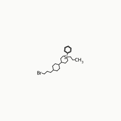 CCC[Si]1(c2ccccc2)CCC(C2CCC(CCCBr)CC2)CC1